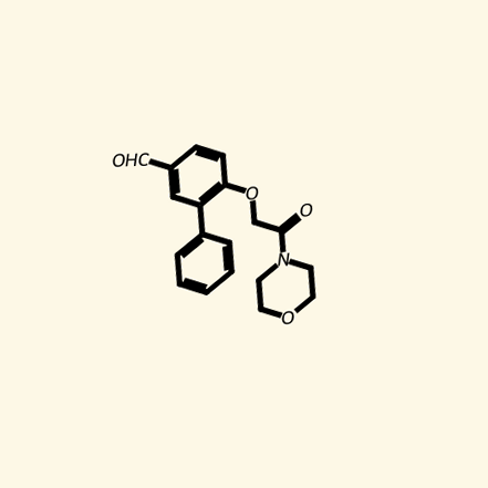 O=Cc1ccc(OCC(=O)N2CCOCC2)c(-c2ccccc2)c1